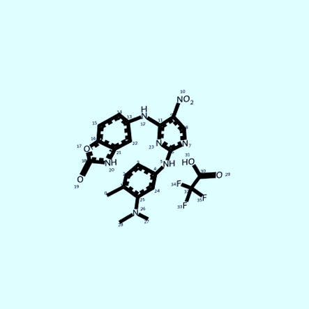 Cc1ccc(Nc2ncc([N+](=O)[O-])c(Nc3ccc4oc(=O)[nH]c4c3)n2)cc1N(C)C.O=C(O)C(F)(F)F